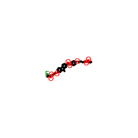 C=CC(=O)OCCCCOc1ccc(OC(=O)c2ccc3c(c2)C(C)c2cc(OCCOC(=O)C(C)F)ccc2-3)cc1